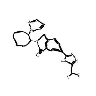 O=C1c2cc(-c3nnc(C(F)F)o3)ccc2CN1[C@H]1CCCC[C@H]1n1cccn1